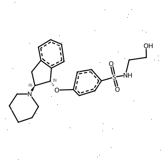 O=S(=O)(NCCO)c1ccc(O[C@H]2c3ccccc3C[C@@H]2N2CCCCC2)cc1